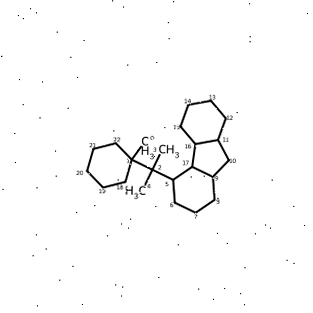 CC1(C(C)(C)C2CCCC3CC4CCCCC4C32)CCCCC1